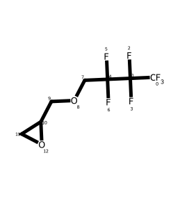 FC(F)(F)C(F)(F)C(F)(F)COCC1CO1